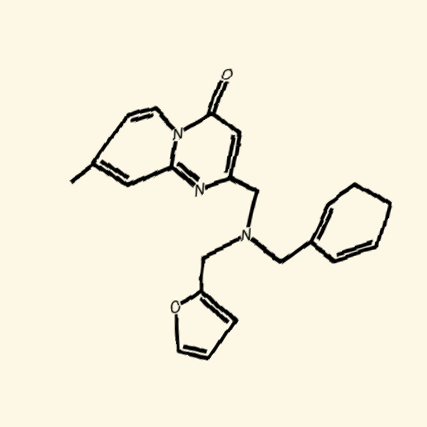 Cc1ccn2c(=O)cc(CN(CC3=CCCC=C3)Cc3ccco3)nc2c1